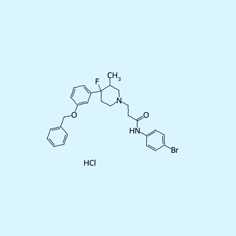 CC1CN(CCC(=O)Nc2ccc(Br)cc2)CCC1(F)c1cccc(OCc2ccccc2)c1.Cl